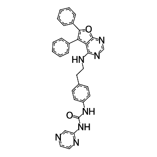 O=C(Nc1ccc(CCNc2ncnc3oc(-c4ccccc4)c(-c4ccccc4)c23)cc1)Nc1cnccn1